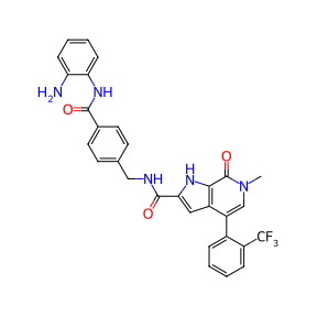 Cn1cc(-c2ccccc2C(F)(F)F)c2cc(C(=O)NCc3ccc(C(=O)Nc4ccccc4N)cc3)[nH]c2c1=O